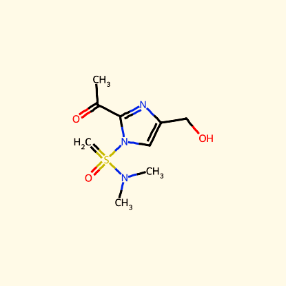 C=S(=O)(N(C)C)n1cc(CO)nc1C(C)=O